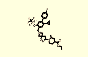 CCOC(=O)C1CCN(C2=NOC3(C2)CN(Cc2cc(C4CC4)c(-c4ccc(F)cc4)cc2OS(=O)(=O)C(F)(F)F)C3)C(C)C1